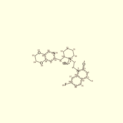 Cc1cc(=O)n(CC[N+]2(C(C)(C)C)CC[CH]CC2Cc2cc3c(cn2)OCCO3)c2cc(F)ccc12